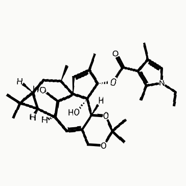 CCn1cc(C)c(C(=O)O[C@H]2C(C)=C[C@]34C(O)[C@@H](C=C5COC(C)(C)O[C@H]5[C@]23O)[C@H]2[C@@H](C[C@H]4C)C2(C)C)c1C